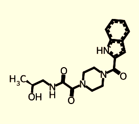 C[C@H](O)CNC(=O)C(=O)N1CCN(C(=O)c2cc3ccccc3[nH]2)CC1